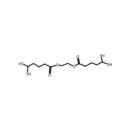 O=C(CCCC(S)S)OCCOC(=O)CCCC(S)S